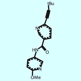 COc1ccc(NC(=O)c2ccc(C#CC(C)(C)C)nc2)cn1